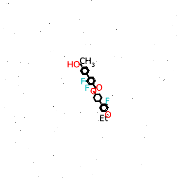 CCOc1ccc(C2CCC(OC(=O)c3ccc(-c4ccc(C(C)O)cc4)c(F)c3F)CC2)c(F)c1